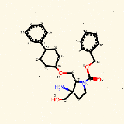 NC1(CO)CCN(C(=O)OCc2ccccc2)C1COC1CCC(c2ccccc2)CC1